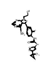 Nc1ncnc2c1c(-c1ccc(NC(=O)Nc3cc(C4(C(F)(F)F)CC4)no3)c(F)c1)nn2CCO